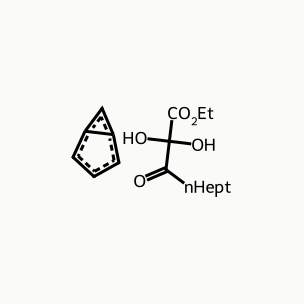 CCCCCCCC(=O)C(O)(O)C(=O)OCC.c1cc2cc-2c1